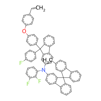 C=Cc1ccc(Oc2ccc(C3(c4ccc(F)cc4)c4ccccc4-c4ccc(N(c5ccc6c(c5)C5(c7ccccc7-c7ccc(C)cc75)c5ccccc5-6)c5cccc(F)c5F)cc43)cc2)cc1